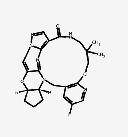 CC1(C)CNC(=O)c2cnn3cc4c(nc23)N(Cc2cc(F)cnc2OC1)[C@@H]1CCC[C@@H]1O4